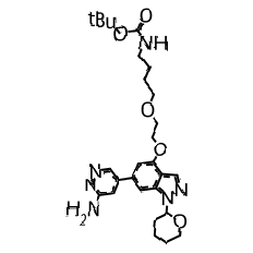 CC(C)(C)OC(=O)NCCCCOCCOc1cc(-c2cnnc(N)c2)cc2c1cnn2C1CCCCO1